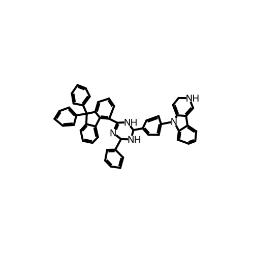 C1=c2c(n(-c3ccc(C4NC(c5cccc6c5-c5ccccc5C6(c5ccccc5)c5ccccc5)=NC(c5ccccc5)N4)cc3)c3ccccc23)=CCN1